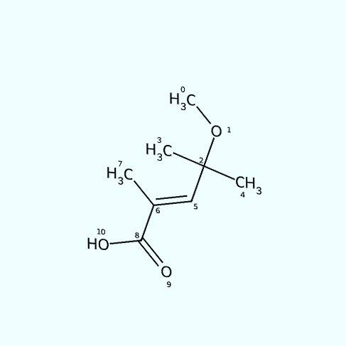 COC(C)(C)/C=C(\C)C(=O)O